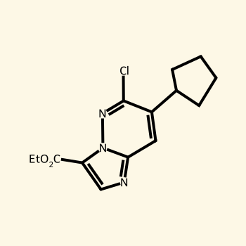 CCOC(=O)c1cnc2cc(C3CCCC3)c(Cl)nn12